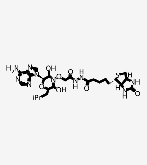 CC(C)CC1O[C@@H](n2cnc3c(N)ncnc32)C(O)N(OCC(=O)NNC(=O)CCCC[C@@H]2SC[C@@H]3NC(=O)N[C@@H]32)C1O